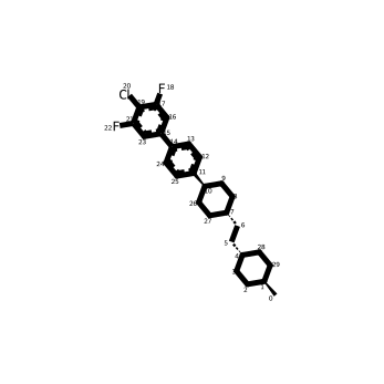 C[C@H]1CC[C@H](CC[C@H]2CC[C@H](c3ccc(-c4cc(F)c(Cl)c(F)c4)cc3)CC2)CC1